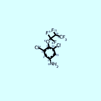 Nc1cc(Cl)c(OC(F)(F)C(F)C(F)(F)F)c(Cl)c1